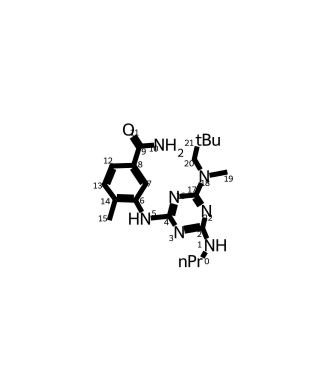 CCCNc1nc(Nc2cc(C(N)=O)ccc2C)nc(N(C)CC(C)(C)C)n1